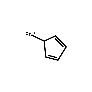 [Pt+3][CH]1C=CC=C1